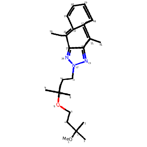 COC(C)(C)CCOC(C)(C)CCn1nc2c(C)c3ccccc3c(C)c2n1